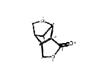 O=C1OCC2C3COC(C3)C12